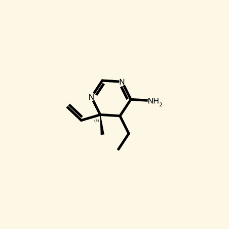 C=C[C@]1(C)N=CN=C(N)C1CC